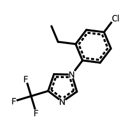 CCc1cc(Cl)ccc1-n1cnc(C(F)(F)F)c1